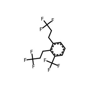 FC(F)(F)CCc1cccc(C(F)(F)F)c1CCC(F)(F)F